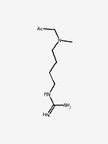 CC(=O)CN(C)CCCCNC(=N)N